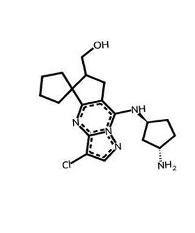 N[C@H]1CC[C@H](Nc2c3c(nc4c(Cl)cnn24)C2(CCCC2)C(CO)C3)C1